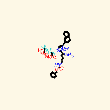 N[C@@H](CCCCNC(=O)OCc1ccccc1)c1ncc(-c2ccc3ccccc3c2)[nH]1.O=C(O)C(F)(F)F.O=C(O)C(F)(F)F